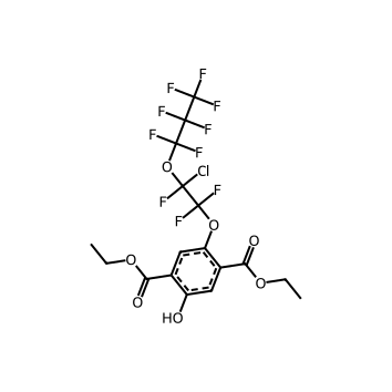 CCOC(=O)c1cc(OC(F)(F)C(F)(Cl)OC(F)(F)C(F)(F)C(F)(F)F)c(C(=O)OCC)cc1O